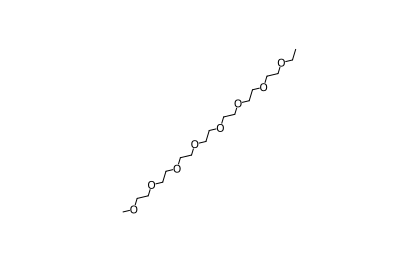 CCOCCOCCOCCOCCOCCOCCOCCOC